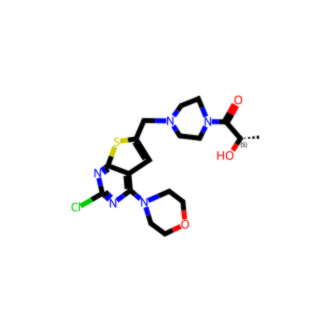 C[C@H](O)C(=O)N1CCN(Cc2cc3c(N4CCOCC4)nc(Cl)nc3s2)CC1